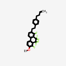 C=CCCc1ccc(CCc2ccc3c(c2F)C(F)(F)C(F)(F)c2c-3ccc(OCC)c2F)cc1